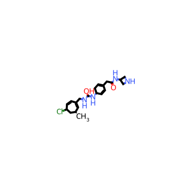 C[C@@H]1C=C(CNC(O)NC2C=CC(CC(=O)NC3CNC3)=CC2)C=CC(Cl)C1